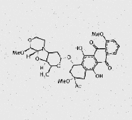 COc1cccc2c1C(=O)c1c(O)c3c(c(O)c1C2=O)C[C@@](OC)(C(C)=O)C[C@@H]3O[C@H]1CC2[C@H](O[C@@H]3[C@@H](OC)OCCN23)[C@H](C)O1